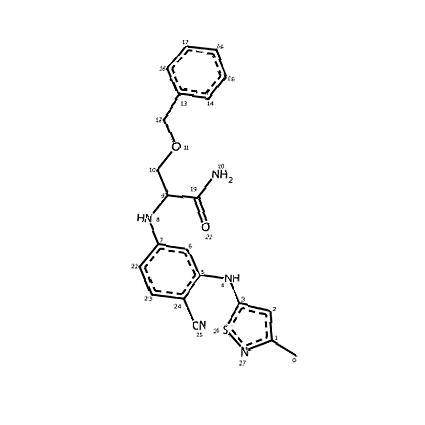 Cc1cc(Nc2cc(NC(COCc3ccccc3)C(N)=O)ccc2C#N)sn1